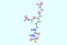 CS(=O)(=O)NC(=O)NCCCC(COCC1CO1)OCC1CO1